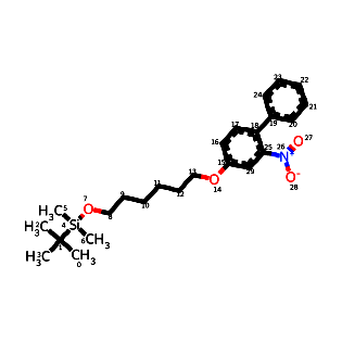 CC(C)(C)[Si](C)(C)OCCCCCCOc1ccc(-c2ccccc2)c([N+](=O)[O-])c1